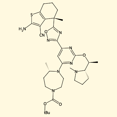 C[C@H](Oc1nc(-c2noc([C@@]3(C)CCCc4sc(N)c(C#N)c43)n2)cc(N2CCN(C(=O)OC(C)(C)C)CC[C@@H]2C)n1)[C@@H]1CCCN1C